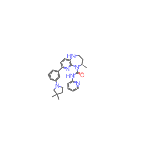 C[C@@H]1CCNc2ccc(-c3cccc(N4CCC(C)(C)C4)c3)nc2N1C(=O)Nc1ccccn1